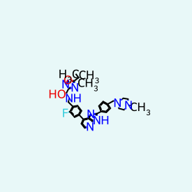 CN1CCN(Cc2ccc(-c3nc4c(-c5ccc(CNC(O)c6noc(C(C)(C)C)n6)c(F)c5)ccnc4[nH]3)cc2)CC1